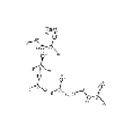 CC(C)[O-].CC(C)[O-].CC(C)[O-].CCOC(C)[O-].CCOC(C)[O-].[Ta+5]